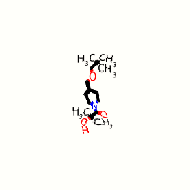 CC(C)(C)COCC1CCN(C(=O)C(C)(C)O)CC1